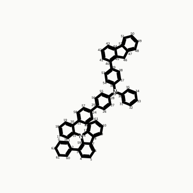 C1=CC(c2cccc3c4ccccc4n(-c4ccccc4-c4ccc(-c5ccc(N(c6ccccc6)c6ccc(-c7cccc8c7Cc7ccccc7-8)cc6)cc5)cc4)c23)=CCC1